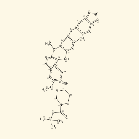 COc1cc(Oc2ccn3ncnc3c2)c(C)cc1Nc1ncnc2cc(OC)c(NC3CCN(C(=O)OC(C)(C)C)CC3)cc12